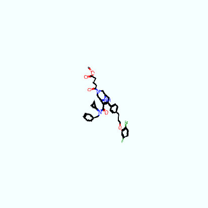 COC(=O)CCCC(=O)N1CC2CC(c3ccc(CCCOc4cc(F)ccc4Br)cc3)=C(C(=O)N(Cc3ccccc3)C3CC3)C(C1)N2